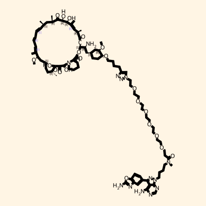 CO[C@H]1C[C@@H]2CC[C@@H](C)[C@@](O)(O2)C(=O)C(O)N2CCCC[C@H]2C(=O)O[C@H]([C@H](N)C[C@@H]2CC[C@@H](OCCCCc3cn(CCOCCOCCOCCOCCOCCOCCC(=O)N(C)CCCCn4nc(-c5ccc6oc(N)nc6c5)c5c(N)ncnc54)nn3)[C@H](OC)C2)CC(=O)[C@H](C)/C=C(\C)[C@@H](O)[C@@H](O)C(=O)[C@H](C)C[C@H](C)/C=C/C=C/C=C/1C